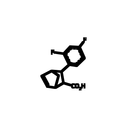 O=C(O)C1C2C=CC(C2)C1c1ccc(F)cc1F